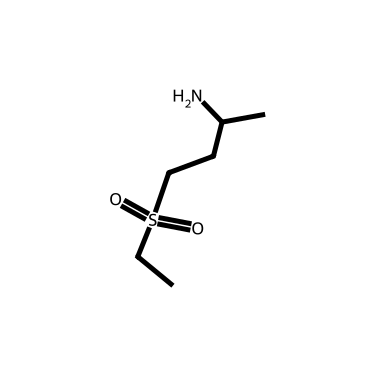 CCS(=O)(=O)CCC(C)N